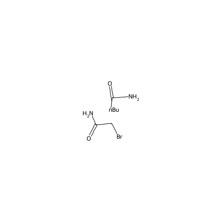 CCCCC(N)=O.NC(=O)CBr